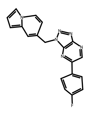 Fc1ccc(-c2cnc3nnn(Cc4ccn5cccc5c4)c3n2)cc1